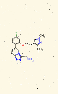 Cc1nn(C)cc1CCOc1cc(F)ccc1-c1ccc2nnc(CN)n2c1